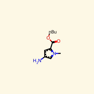 CCCCOC(=O)c1cc(N)cn1C